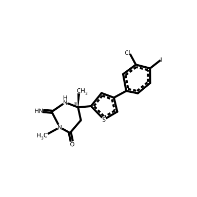 CN1C(=N)N[C@](C)(c2cc(-c3ccc(I)c(Cl)c3)cs2)CC1=O